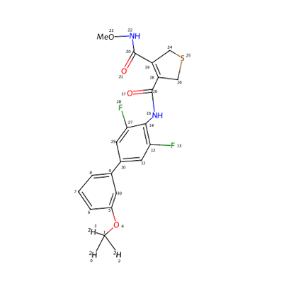 [2H]C([2H])([2H])Oc1cccc(-c2cc(F)c(NC(=O)C3=C(C(=O)NOC)CSC3)c(F)c2)c1